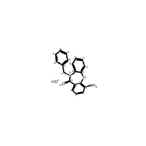 Cl.Nc1cccc2c1Sc1ccccc1N(Cc1ccccc1)C2=O